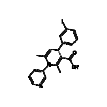 CC1=CC(c2cccc(I)c2)C(C(=O)O)=C(C)N1c1cccnc1